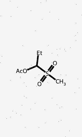 CCC(OC(C)=O)S(C)(=O)=O